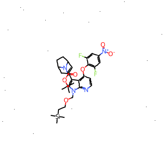 CC(C)(C)OC(=O)N1C2C=C(c3cn(COCC[Si](C)(C)C)c4nccc(Oc5c(F)cc([N+](=O)[O-])cc5F)c34)CC1CC2